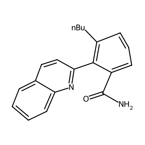 CCCCc1cccc(C(N)=O)c1-c1ccc2ccccc2n1